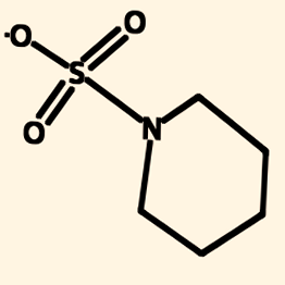 [O]S(=O)(=O)N1CCCCC1